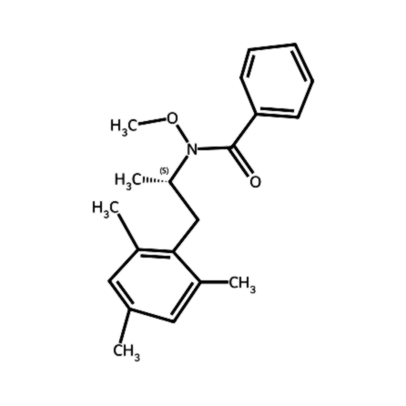 CON(C(=O)c1ccccc1)[C@@H](C)Cc1c(C)cc(C)cc1C